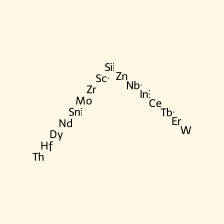 [Ce].[Dy].[Er].[Hf].[In].[Mo].[Nb].[Nd].[Sc].[Si].[Sn].[Tb].[Th].[W].[Zn].[Zr]